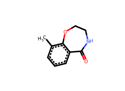 Cc1cccc2c1OCCNC2=O